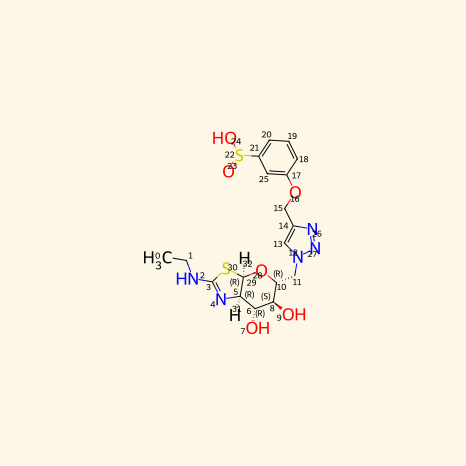 CCNC1=N[C@@H]2[C@@H](O)[C@H](O)[C@@H](Cn3cc(COc4cccc(S(=O)O)c4)nn3)O[C@@H]2S1